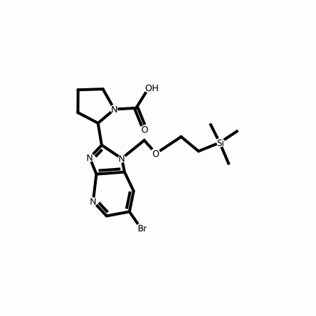 C[Si](C)(C)CCOCn1c(C2CCCN2C(=O)O)nc2ncc(Br)cc21